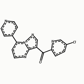 O=C(c1ccc(Cl)cn1)c1cnn2c(-c3ccncc3)ccnc12